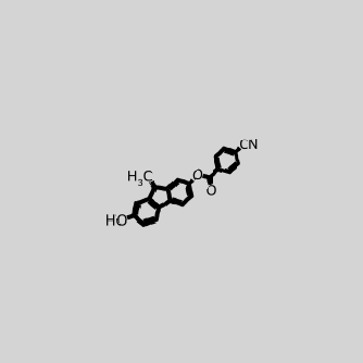 CC1c2cc(O)ccc2-c2ccc(OC(=O)c3ccc(C#N)cc3)cc21